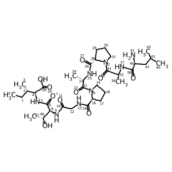 CC[C@H](C)[C@H](NC(=O)[C@@H](NC(=O)CNC(=O)[C@@H]1CCCN1C(=O)[C@H](C)NC(=O)[C@@H]1CCCN1C(=O)[C@H](C)NC(=O)[C@@H](N)CC(C)C)[C@@H](C)O)C(=O)O